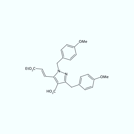 CCOC(=O)C=Cc1c(C(=O)O)c(Cc2ccc(OC)cc2)nn1Cc1ccc(OC)cc1